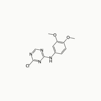 COc1ccc(Nc2ncnc(Cl)n2)cc1OC